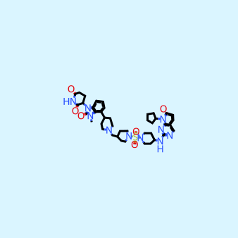 Cn1c(=O)n(C2CCC(=O)NC2=O)c2cccc(C3CCN(CC4CCN(S(=O)(=O)N5CCC(Nc6ncc7ccc(=O)n(C8CCCC8)c7n6)CC5)CC4)CC3)c21